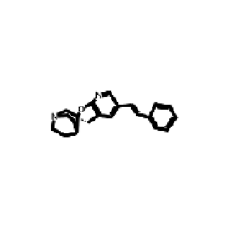 C(=Cc1cnc2c(c1)C[C@]1(CN3CCC1CC3)O2)c1ccccc1